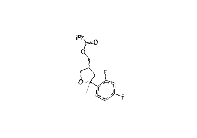 CC(C)C(=O)OC[C@@H]1COC(C)(c2ccc(F)cc2F)C1